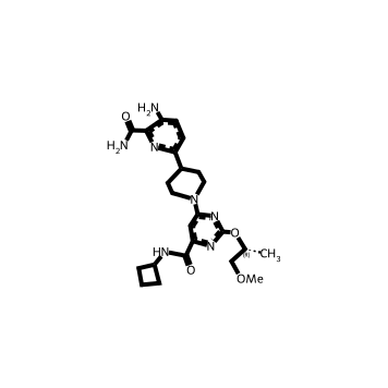 COC[C@@H](C)Oc1nc(C(=O)NC2CCC2)cc(N2CCC(c3ccc(N)c(C(N)=O)n3)CC2)n1